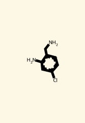 NCc1[c]cc(Cl)cc1N